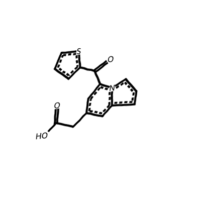 O=C(O)Cc1cc(C(=O)c2cccs2)n2cccc2c1